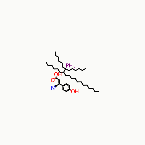 CCCCCCCCCCCCC(CCCCCC)C(P)(CCCCCC)CCCCCC.N#CC(=CC(=O)O)c1ccc(O)cc1